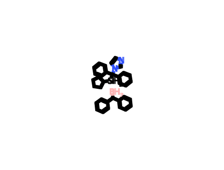 BC(c1ccccc1)c1ccccc1.c1ccc(C([SiH2]C2CCCC2)(c2ccccc2)n2ccnc2)cc1